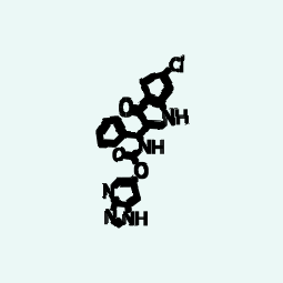 O=C(NC(c1ccccc1)c1c[nH]c2cc(Cl)ccc2c1=O)Oc1cnc2nc[nH]c2c1